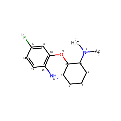 CC(=O)N(C)C1CCCCC1Oc1cc(F)ccc1N